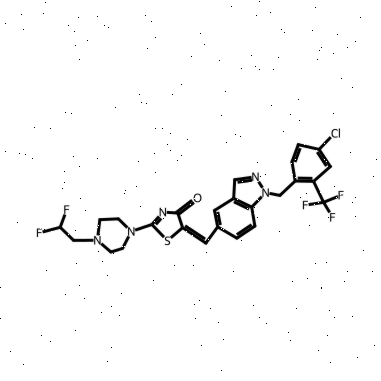 O=C1N=C(N2CCN(CC(F)F)CC2)SC1=Cc1ccc2c(cnn2Cc2ccc(Cl)cc2C(F)(F)F)c1